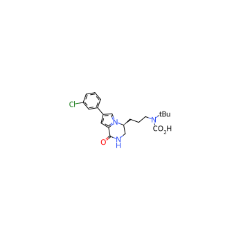 CC(C)(C)N(CCC[C@H]1CNC(=O)c2cc(-c3cccc(Cl)c3)cn21)C(=O)O